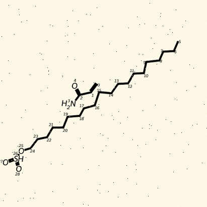 C=CC(N)=O.CCCCCCCCCCCCCCCCCCCCO[SH](=O)=O